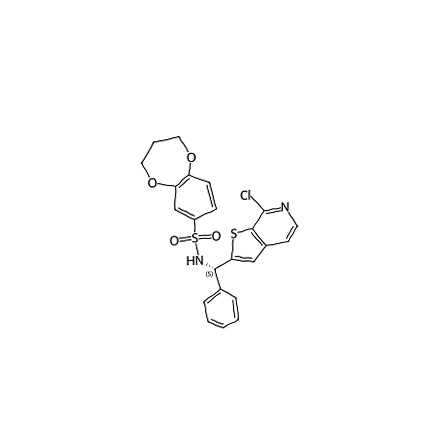 O=S(=O)(N[C@@H](c1ccccc1)c1cc2ccnc(Cl)c2s1)c1ccc2c(c1)OCCCO2